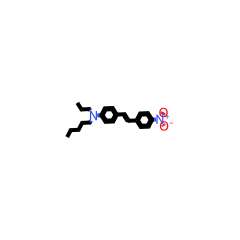 CCCCCN(CCC)c1ccc(C=Cc2ccc([N+](=O)[O-])cc2)cc1